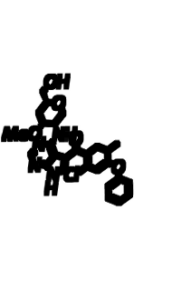 CO[C@H]1C[C@@H](CO)OC[C@@H]1Nc1ncnc2[nH]cc(C(=O)C3=C(Cl)C=C(Oc4ccccc4)C(C)C3)c12